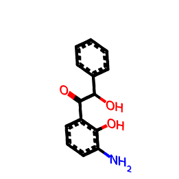 Nc1cccc(C(=O)C(O)c2ccccc2)c1O